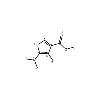 COC(=O)c1csc(N(C)C)c1C